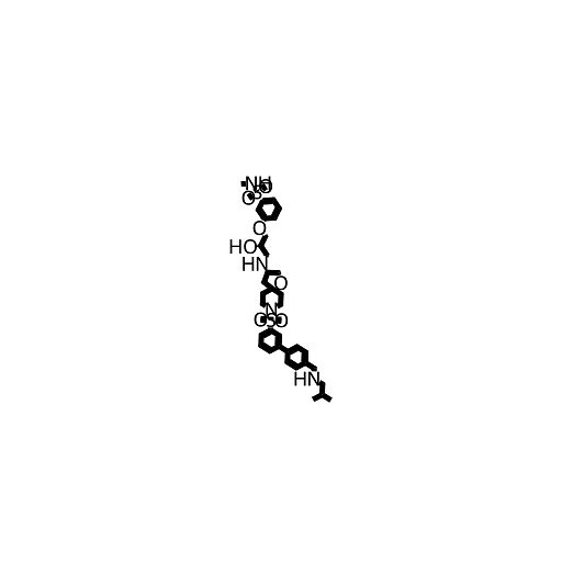 CNS(=O)(=O)c1cccc(OC[C@@H](O)CN[C@@H]2COC3(CCN(S(=O)(=O)c4cccc(-c5ccc(CNCC(C)C)cc5)c4)CC3)C2)c1